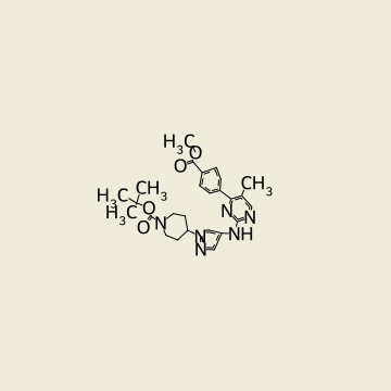 COC(=O)c1ccc(-c2nc(Nc3cnn(C4CCN(C(=O)OC(C)(C)C)CC4)c3)ncc2C)cc1